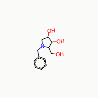 OCC1C(O)C(O)CN1Cc1ccccc1